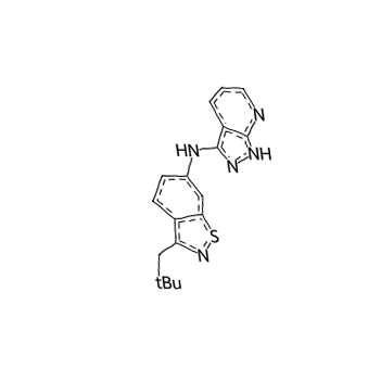 CC(C)(C)Cc1nsc2cc(Nc3n[nH]c4ncccc34)ccc12